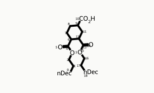 CCCCCCCCCCCCOC(=O)C1CCC(C(=O)O)CC1C(=O)OCCCCCCCCCCCC